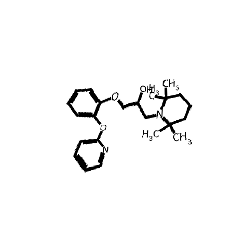 CC1(C)CCCC(C)(C)N1CC(O)COc1ccccc1Oc1ccccn1